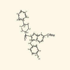 COc1ccc2c(c1)cc(C(=O)N1CCN(c3ncccn3)CC1)n2Cc1ccc(F)cc1